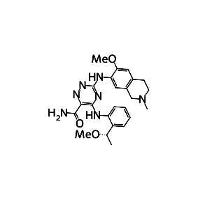 COc1cc2c(cc1Nc1nnc(C(N)=O)c(Nc3ccccc3[C@H](C)OC)n1)CN(C)CC2